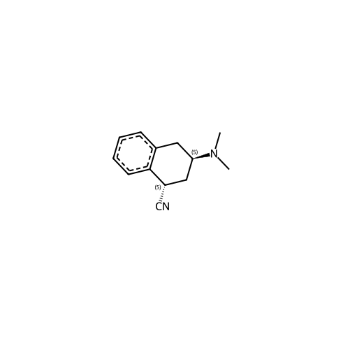 CN(C)[C@@H]1Cc2ccccc2[C@@H](C#N)C1